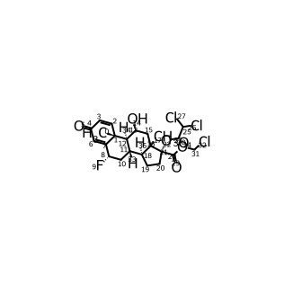 C[C@]12C=CC(=O)C=C1[C@@H](F)C[C@@H]1[C@@H]2[C@@H](O)C[C@@]2(C)[C@H]1CC[C@]2(OC(=O)C(Cl)Cl)C(=O)OCCl